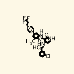 Cc1cc(N2CCN(CCC(F)(F)F)CC2)cc2[nH]c(-c3c(NC[C@@H](O)c4cccc(Cl)c4)cc[nH]c3=O)nc12